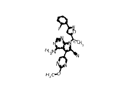 COc1ncc(-c2c(C#N)n([C@H](C)c3cc(-c4ccccc4F)no3)c3ncnc(N)c23)cn1